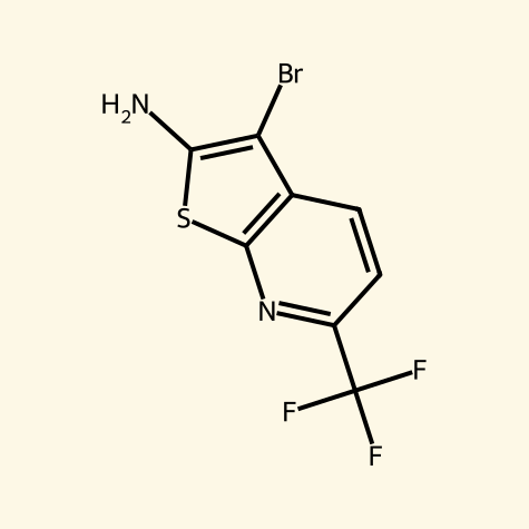 Nc1sc2nc(C(F)(F)F)ccc2c1Br